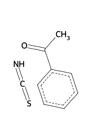 CC(=O)c1ccccc1.N=C=S